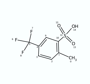 Cc1ccc(C(F)(F)F)cc1S(=O)(=O)O